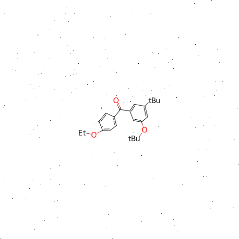 CCOc1ccc(C(=O)c2cc(OC(C)(C)C)cc(C(C)(C)C)c2)cc1